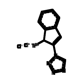 [Cl-].[Cl-].[Ti+2][CH]1C(n2cnnn2)=Cc2ccccc21